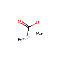 O=C([O-])[O-].[Fe+2].[Mn]